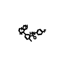 Cc1ccc(-c2nccn3cncc23)cc1C(=O)Nc1ccc(F)cc1